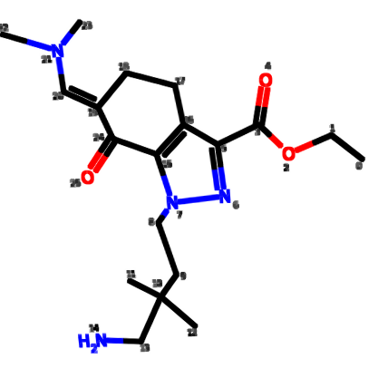 CCOC(=O)c1nn(CCC(C)(C)CN)c2c1CCC(=CN(C)C)C2=O